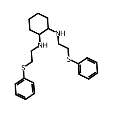 c1ccc(SCCNC2CCCCC2NCCSc2ccccc2)cc1